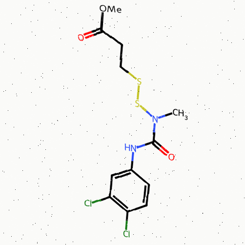 COC(=O)CCSSN(C)C(=O)Nc1ccc(Cl)c(Cl)c1